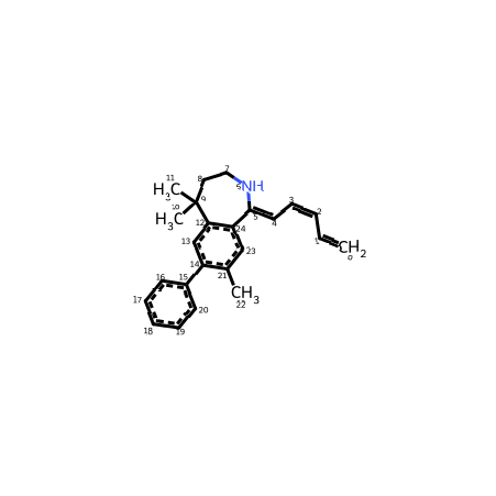 C=C/C=C\C=C1/NCCC(C)(C)c2cc(-c3ccccc3)c(C)cc21